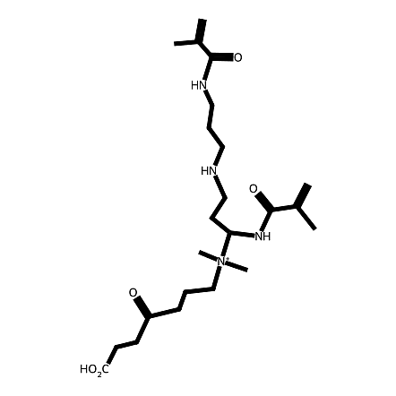 C=C(C)C(=O)NCCCNCCC(NC(=O)C(=C)C)[N+](C)(C)CCCC(=O)CCC(=O)O